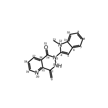 C=C1NN(c2cc3ccccc3n2C)C(=O)c2cccnc21